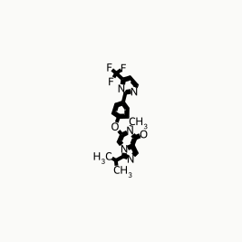 CC(C)c1ncc2c(=O)n(C)c(Oc3ccc(-c4nccc(C(F)(F)F)n4)cc3)cn12